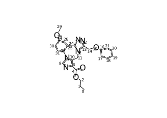 CCCOC(=O)c1ncn2c1Cn1c(COc3ccccc3)nnc1-c1cc(OC)ccc1-2